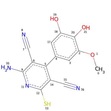 COc1cc(-c2c(C#N)c(N)nc(S)c2C#N)cc(O)c1O